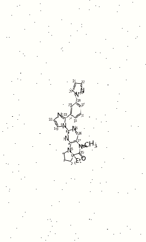 CCC12CCCN1c1nc(-n3ccnc3-c3cccc(-n4cccn4)c3)ncc1N(C)C2=O